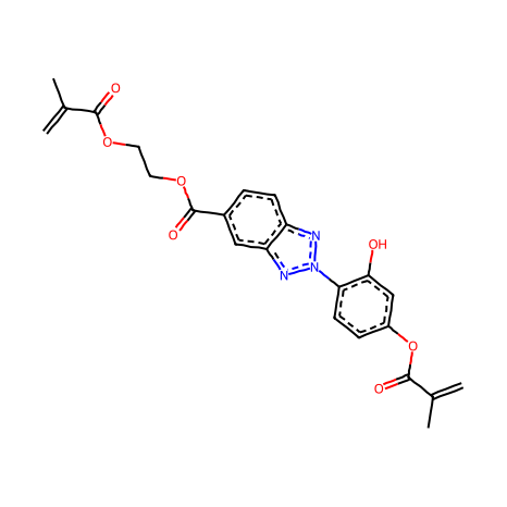 C=C(C)C(=O)OCCOC(=O)c1ccc2nn(-c3ccc(OC(=O)C(=C)C)cc3O)nc2c1